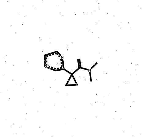 C=C(N(C)C)C1(c2ccccn2)CC1